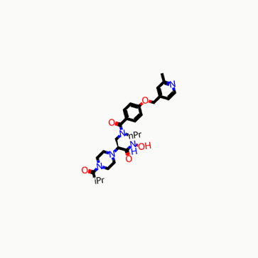 CCCN(C[C@@H](C(=O)NO)N1CCN(C(=O)C(C)C)CC1)C(=O)c1ccc(OCc2ccnc(C)c2)cc1